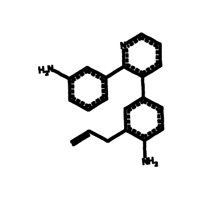 C=CCc1cc(-c2cccnc2-c2cccc(N)c2)ccc1N